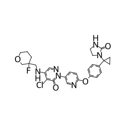 O=C1NCCN1C1(c2ccc(Oc3ccc(-n4ncc(NCC5(F)CCCOC5)c(Cl)c4=O)cn3)cc2)CC1